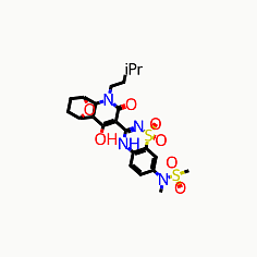 CC(C)CCN1C(=O)C(C2=NS(=O)(=O)c3cc(N(C)S(C)(=O)=O)ccc3N2)=C(O)C2C3CCC(O3)C21